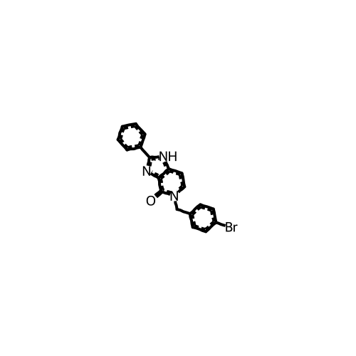 O=c1c2nc(-c3ccccc3)[nH]c2ccn1Cc1ccc(Br)cc1